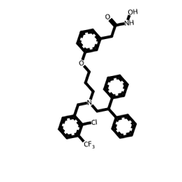 O=C(Cc1cccc(OCCCN(Cc2cccc(C(F)(F)F)c2Cl)CC(c2ccccc2)c2ccccc2)c1)NO